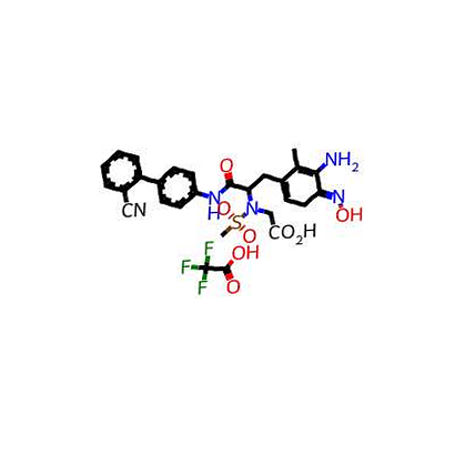 CC1=C(N)C(=NO)CC=C1CC(C(=O)Nc1ccc(-c2ccccc2C#N)cc1)N(CC(=O)O)S(C)(=O)=O.O=C(O)C(F)(F)F